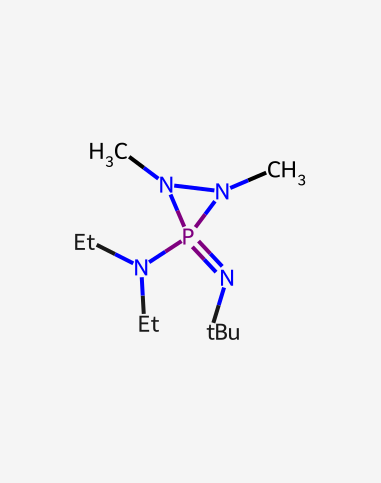 CCN(CC)P1(=NC(C)(C)C)N(C)N1C